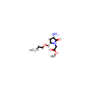 CC(C)(C)OC(=O)CN1C(=O)[C@@H](N)C[C@H]1COCCS(=O)(=O)O